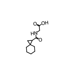 O=C(O)CNC(=O)C1CC12CCCCC2